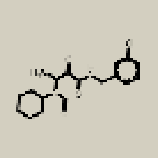 CC(C(=O)C(=O)NCc1cccc(Cl)c1)N(C=O)C1CCCCC1